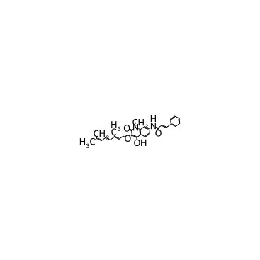 CC(C)=CCC/C(C)=C/COc1c(O)c2ccc(NC(=O)C=Cc3ccccc3)cc2n(C)c1=O